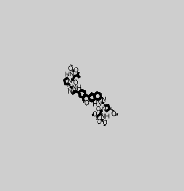 COC[C@H]1C[C@@H](c2nc3c([nH]2)-c2cc4c(cc2CC3)-c2ccc(-c3cnc([C@@H]5CC[C@H](C)N5C(=O)C(NC(=O)OC)C(C)C)[nH]3)cc2CO4)N(C(=O)[C@@H](NC(=O)OC)[C@@H](C)OC)C1